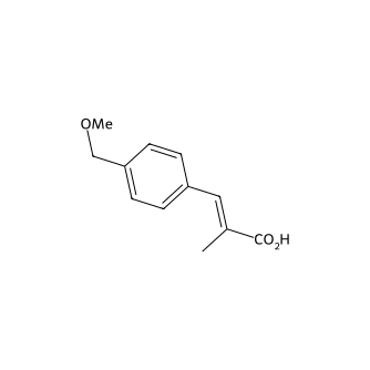 COCc1ccc(/C=C(\C)C(=O)O)cc1